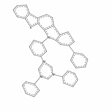 c1ccc(-c2ccc3c4ccc5c6ccccc6sc5c4n(-c4cccc(-[n+]5c[n+](-c6ccccc6)c[n+](-c6ccccc6)c5)c4)c3c2)cc1